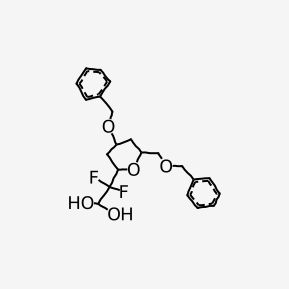 OC(O)C(F)(F)C1CC(OCc2ccccc2)CC(COCc2ccccc2)O1